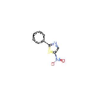 O=[N+]([O-])c1cnc(-c2cc[c]cc2)s1